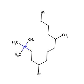 CCC(CCCC(C)CCCC(C)C)CC[N+](C)(C)C